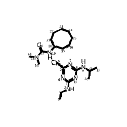 CCNc1nc(Cl)nc(NC(C)C)n1.CN(C)C(=O)NC1CCCCCCC1